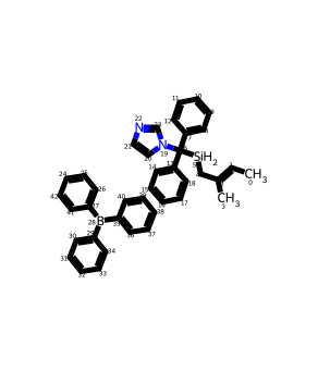 CC=C(C)C[SiH2]C(c1ccccc1)(c1ccccc1)n1ccnc1.c1ccc(B(c2ccccc2)c2ccccc2)cc1